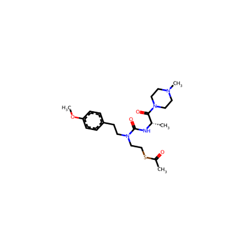 COc1ccc(CCN(CCSC(C)=O)C(=O)N[C@@H](C)C(=O)N2CCN(C)CC2)cc1